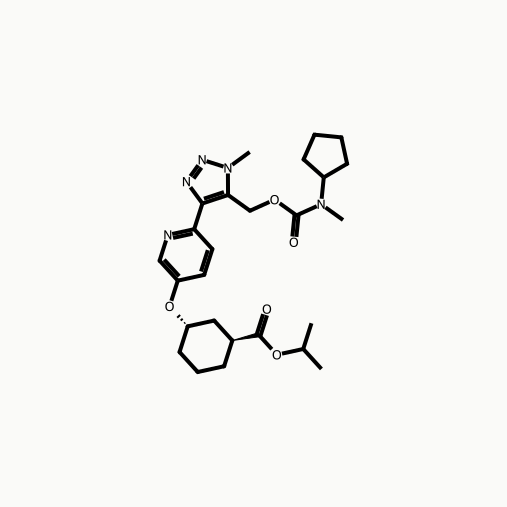 CC(C)OC(=O)[C@H]1CCC[C@H](Oc2ccc(-c3nnn(C)c3COC(=O)N(C)C3CCCC3)nc2)C1